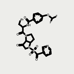 CC(C)CC(NC(=O)c1ccc(OC(F)F)cc1)C(=O)N1CCC2C1C(=O)CN2S(=O)(=O)C(=O)c1cccnc1